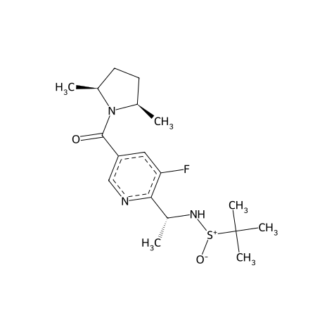 C[C@@H]1CC[C@H](C)N1C(=O)c1cnc([C@@H](C)N[S+]([O-])C(C)(C)C)c(F)c1